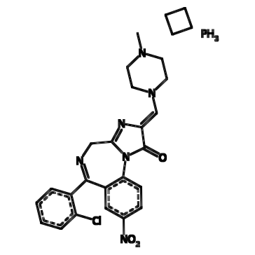 C1CCC1.CN1CCN(/C=C2\N=C3CN=C(c4ccccc4Cl)c4cc([N+](=O)[O-])ccc4N3C2=O)CC1.P